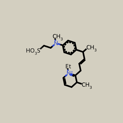 CC[N+]1=C(C/C=C/C(C)c2ccc(N(C)CCS(=O)(=O)O)cc2)C(C)CC=C1